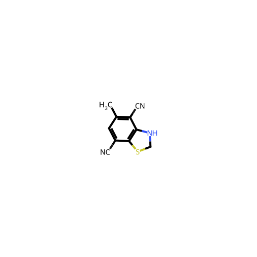 Cc1cc(C#N)c2c(c1C#N)NCS2